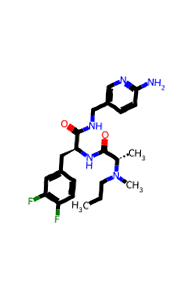 CCCN(C)[C@@H](C)C(=O)N[C@@H](Cc1ccc(F)c(F)c1)C(=O)NCc1ccc(N)nc1